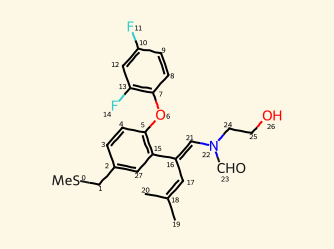 CSCc1ccc(Oc2ccc(F)cc2F)c(/C(C=C(C)C)=C/N(C=O)CCO)c1